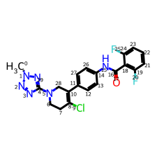 Cn1nnc(N2CCC(Cl)=C(c3ccc(NC(=O)c4c(F)cccc4F)cc3)C2)n1